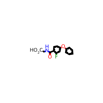 O=C(O)CNC(=O)c1ccc(Oc2ccccc2)cc1F